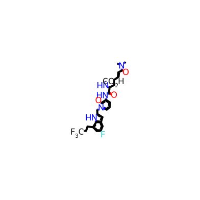 CN(C)C(=O)/C=C/CCC(NC(=O)O)C(=O)Nc1cccn(Cc2cc3cc(F)cc(CCC(F)(F)F)c3[nH]2)c1=O